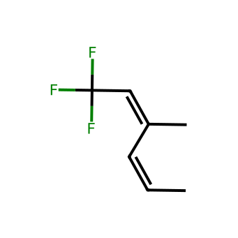 C/C=C\C(C)=C/C(F)(F)F